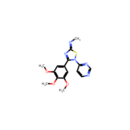 CN=c1nc(-c2cc(OC)c(OC)c(OC)c2)n(-c2ccncn2)s1